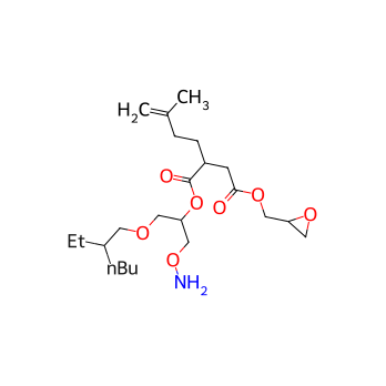 C=C(C)CCC(CC(=O)OCC1CO1)C(=O)OC(CON)COCC(CC)CCCC